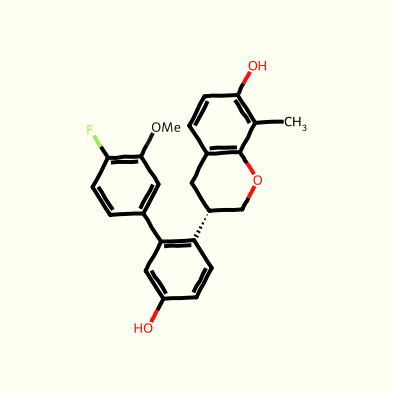 COc1cc(-c2cc(O)ccc2[C@H]2COc3c(ccc(O)c3C)C2)ccc1F